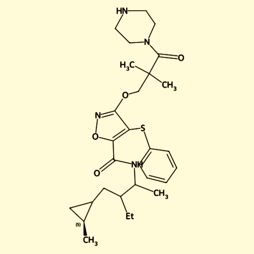 CCC(CC1C[C@@H]1C)C(C)NC(=O)c1onc(OCC(C)(C)C(=O)N2CCNCC2)c1Sc1ccccc1